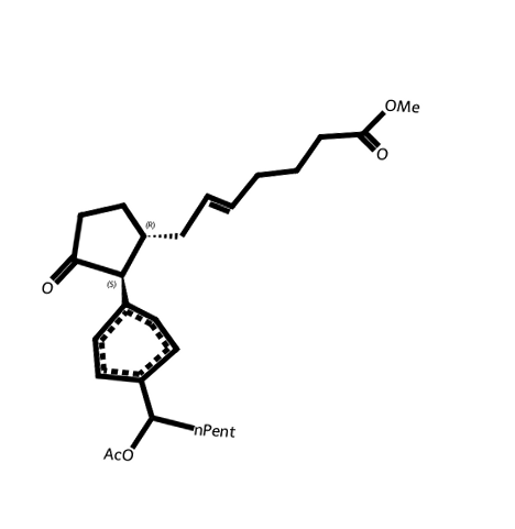 CCCCCC(OC(C)=O)c1ccc([C@H]2C(=O)CC[C@@H]2CC=CCCCC(=O)OC)cc1